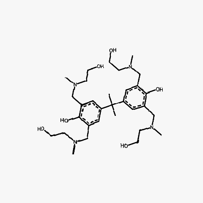 CN(CCO)Cc1cc(C(C)(C)c2cc(CN(C)CCO)c(O)c(CN(C)CCO)c2)cc(CN(C)CCO)c1O